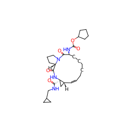 O=C(N[C@H]1CCCCC/C=C\[C@@H]2C[C@@]2(C(=O)NCC2CC2)NC(=O)[C@@H]2CCCN2C1=O)OC1CCCC1